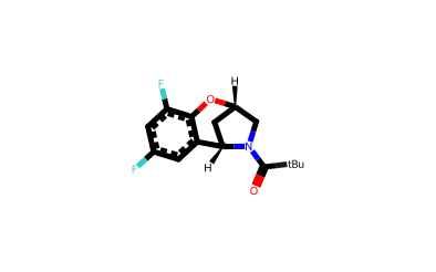 CC(C)(C)C(=O)N1C[C@@H]2C[C@H]1c1cc(F)cc(F)c1O2